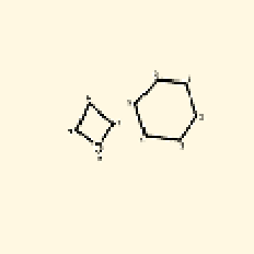 C1CCCCC1.C1COC1